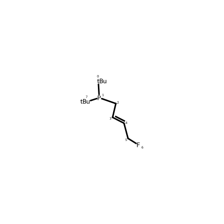 CC(C)(C)P(CC=CCF)C(C)(C)C